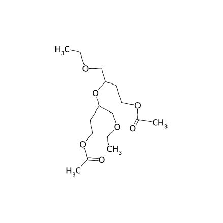 CCOCC(CCOC(C)=O)OC(CCOC(C)=O)COCC